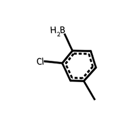 Bc1ccc(C)cc1Cl